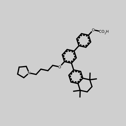 CC1(C)CCC(C)(C)c2cc(-c3cc(-c4ccc(OC(=O)O)cc4)ccc3OCCCCN3CCCC3)ccc21